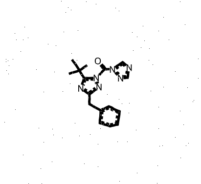 CC(C)(C)c1nc(Cc2ccccc2)nn1C(=O)n1cncn1